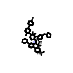 Cc1ccc(-c2ccc(F)cc2)cc1C1C=CC2=C(c3cc(CC4CCCC4)cc[n+]3/C2=C2/c3cc(C4CCCCC4)ccc3-c3ccc([SiH](C)C)c[n+]3C2(C)C(C)C)C1(C)C